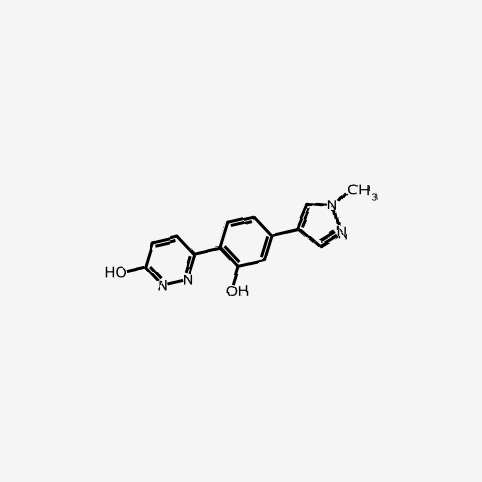 Cn1cc(-c2ccc(-c3ccc(O)nn3)c(O)c2)cn1